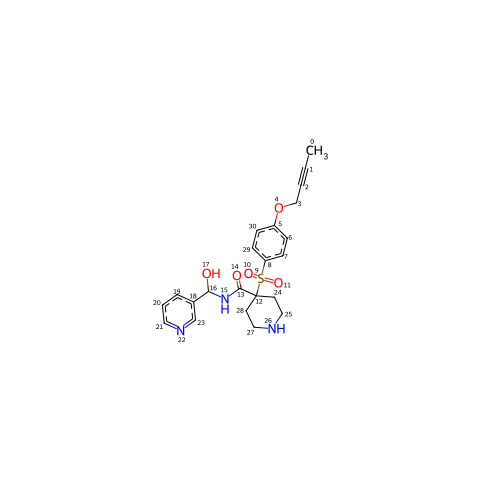 CC#CCOc1ccc(S(=O)(=O)C2(C(=O)NC(O)c3cccnc3)CCNCC2)cc1